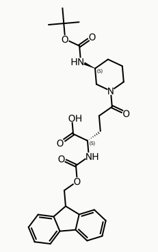 CC(C)(C)OC(=O)N[C@H]1CCCN(C(=O)CC[C@H](NC(=O)OCC2c3ccccc3-c3ccccc32)C(=O)O)C1